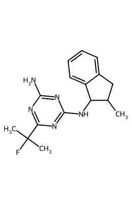 CC1Cc2ccccc2C1Nc1nc(N)nc(C(C)(C)F)n1